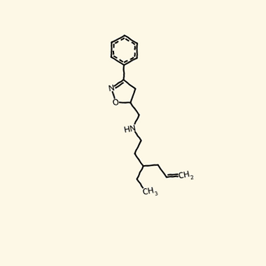 C=CCC(CC)CCNCC1CC(c2ccccc2)=NO1